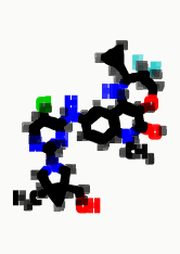 Cn1c(=O)c2c(c3cc(Nc4nc(N5C[C@@]6(C)C[C@@]6(CO)C5)ncc4Cl)ccc31)N[C@@H](C1CC1)C(F)(F)CO2